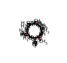 CCO[C@@H]1C[C@H]2C(=O)NC3(CCCC3)C(=O)N(C)[C@@H](C3CCCC3)C(=O)N(C)[C@H](C)CC(=O)N(C)[C@@H](CC(C)C)C(=O)N[C@@H]([C@@H](C)CC)C(=O)N(C)CC(=O)N(C)CC(=O)N(C)[C@@H](Cc3ccc(C(F)(F)F)cc3)C(=O)N(C)CC(=O)N[C@@H](CCc3cc(F)c(C(F)(F)F)c(F)c3)C(=O)N2C1